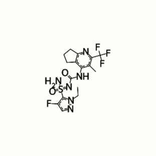 CCn1ncc(F)c1S(N)(=O)=NC(=O)Nc1c(C)c(C(F)(F)F)nc2c1CCC2